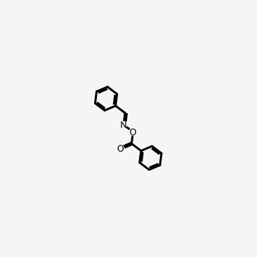 O=C(ON=Cc1ccccc1)c1ccccc1